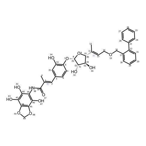 C/C(=C\c1ccc(O[C@@H]2O[C@H](/C(C)=C/COCc3ccccc3-c3ccccc3)[C@@H](O)[C@@H]2O)c(O)c1)C(=O)Nc1c(O)c(O)c2c(c1O)OCO2